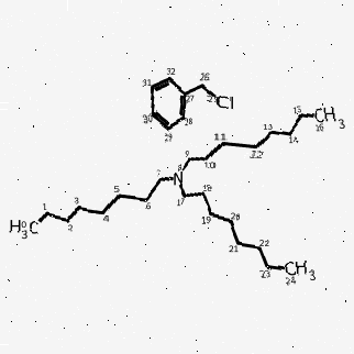 CCCCCCCCN(CCCCCCCC)CCCCCCCC.ClCc1ccccc1